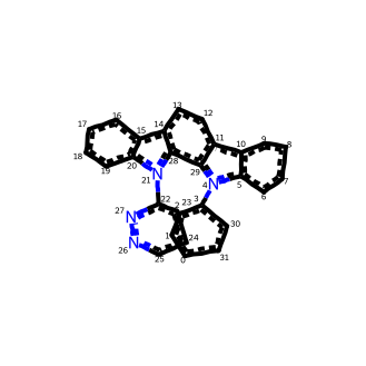 c1ccc(-n2c3ccccc3c3ccc4c5ccccc5n(-c5cccnn5)c4c32)cc1